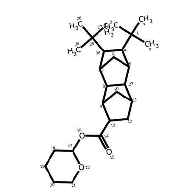 CC(C)(C)C1C2CC(C3C4CC(CC4C(=O)OC4CCCCO4)C23)C1C(C)(C)C